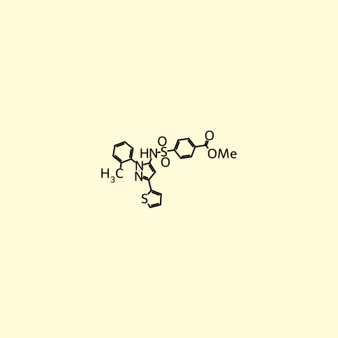 COC(=O)c1ccc(S(=O)(=O)Nc2cc(-c3cccs3)nn2-c2ccccc2C)cc1